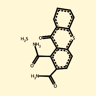 NC(=O)c1ccc2sc3ccccc3c(=O)c2c1C(N)=O.S